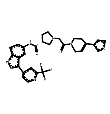 O=C(Nc1ccc2[nH]nc(-c3ccnc(C(F)(F)F)c3)c2c1)[C@@H]1CCN(CC(=O)N2CC=C(c3ccsc3)CC2)C1